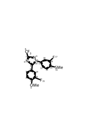 COc1ccc(-c2nc(C(F)(F)F)nn2-c2ccc(SC)c(F)c2)cc1F